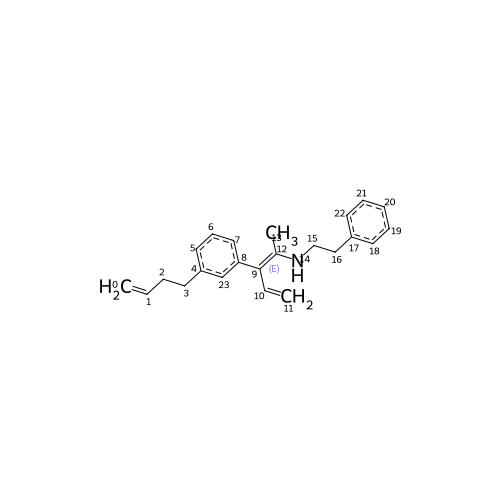 C=CCCc1cccc(/C(C=C)=C(\C)NCCc2ccccc2)c1